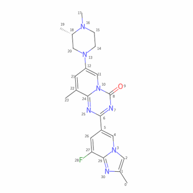 Cc1cn2cc(-c3nc(=O)n4cc(N5CCN(C)[C@@H](C)C5)cc(C)c4n3)cc(F)c2n1